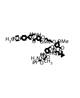 COc1cc2c(cc1OCCCCCOc1cc3c(cc1OC)C(=O)N1CC4(CC4)C[C@H]1C(O)N3C(=O)OCc1ccc(NC(=O)[C@H](C)NC(=O)[C@@H](N)C(C)C)cc1)NC[C@@H]1CC(c3ccc(N4CCN(C)CC4)cc3)=CN1C2=O